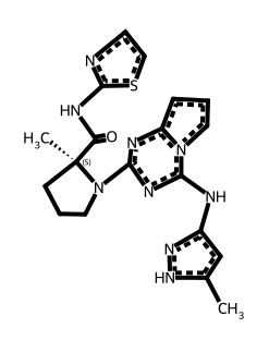 Cc1cc(Nc2nc(N3CCC[C@@]3(C)C(=O)Nc3nccs3)nc3cccn23)n[nH]1